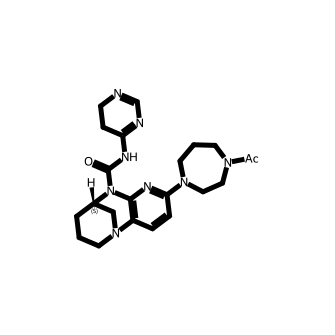 CC(=O)N1CCCN(c2ccc3c(n2)N(C(=O)NC2=NC=NCC2)[C@H]2CCCN3C2)CC1